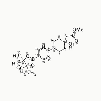 COC(=O)CC1(O)CCN(c2ncc(B3OC(C)(C)C(C)(C)O3)cn2)CC1